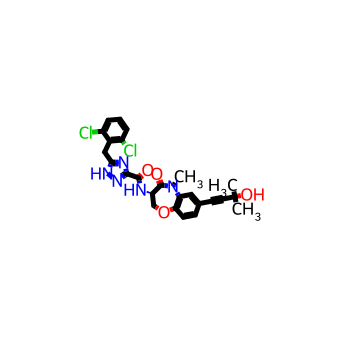 CN1C(=O)[C@@H](NC(=O)c2n[nH]c(Cc3c(Cl)cccc3Cl)n2)COc2ccc(C#CC(C)(C)O)cc21